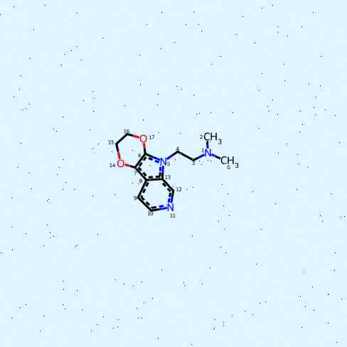 CN(C)CCn1c2c(c3ccncc31)OCCO2